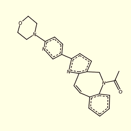 CC(=O)N1Cc2ccc(-c3ccc(N4CCOCC4)nc3)nc2/C=C\c2ccccc21